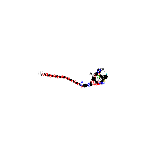 COCCOCCOCCOCCOCCOCCOCCOCCOCCOCCOCCNC(=O)c1ccc(-c2nccc(COc3ccc4cc3C[C@H](C(=O)O)Oc3ncnc5sc(-c6ccc(F)cc6)c(c35)-c3c(C)c(Cl)c(c(Cl)c3C)OC(CN3CCN(C)CC3)[C@@H](C)O4)n2)cc1